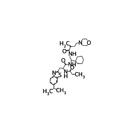 C=C(CCN1CCOCC1)C(=O)NCC(NC(=O)C(Cc1nc2ccc(C(C)C)cc2s1)NC(=O)CC)C1CCCCC1